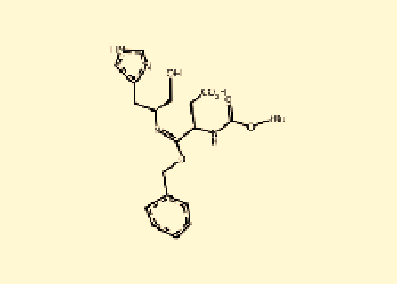 CC(C)(C)OC(=O)N[C@H](CC(=O)O)C(=N[C@H](CO)Cc1c[nH]cn1)OCc1ccccc1